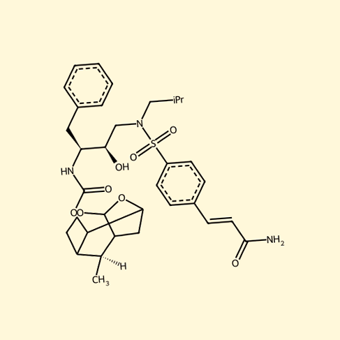 CC(C)CN(C[C@@H](O)[C@H](Cc1ccccc1)NC(=O)OC1C2CC3C(OCC1[C@@H]3C)O2)S(=O)(=O)c1ccc(/C=C/C(N)=O)cc1